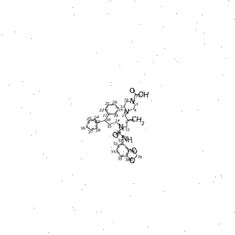 C=C(CN1CCN(C(=O)O)CC1)CN(CCC(c1ccccc1)c1ccccc1)C(=O)Nc1cccc2c1OCO2